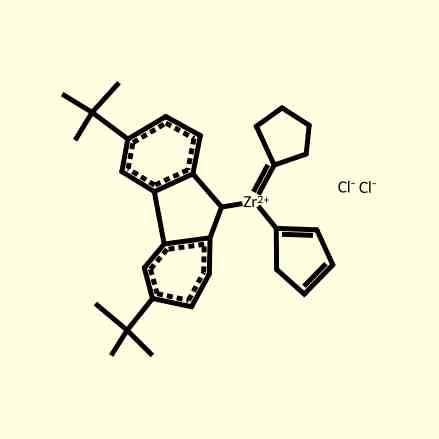 CC(C)(C)c1ccc2c(c1)-c1cc(C(C)(C)C)ccc1[CH]2[Zr+2]([C]1=CC=CC1)=[C]1CCCC1.[Cl-].[Cl-]